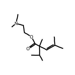 CC(C)=CC(C)(C(=O)OCCN(C)C)C(C)C